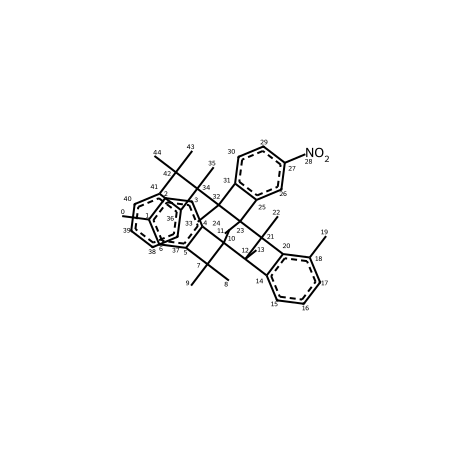 Cc1ccc2c(c1)C(C)(C)C2(C)C1(C)c2cccc(C)c2C1(C)C1(C)c2cc([N+](=O)[O-])ccc2C1(C)C1(C)c2ccccc2C1(C)C